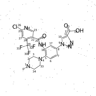 CN1CCN(c2ccc(-n3cc(C(=O)O)nn3)cc2NC(=O)c2cnc(Cl)cc2C(F)(F)F)CC1